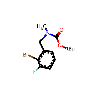 CN(Cc1cccc(F)c1Br)C(=O)OC(C)(C)C